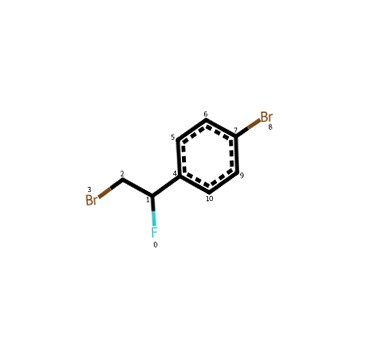 FC(CBr)c1ccc(Br)cc1